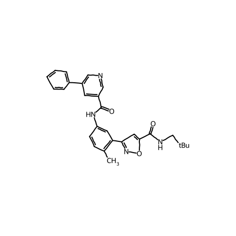 Cc1ccc(NC(=O)c2cncc(-c3ccccc3)c2)cc1-c1cc(C(=O)NCC(C)(C)C)on1